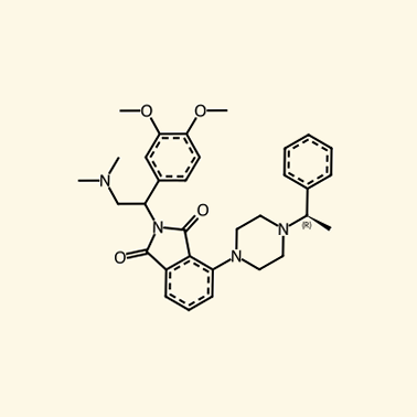 COc1ccc(C(CN(C)C)N2C(=O)c3cccc(N4CCN([C@H](C)c5ccccc5)CC4)c3C2=O)cc1OC